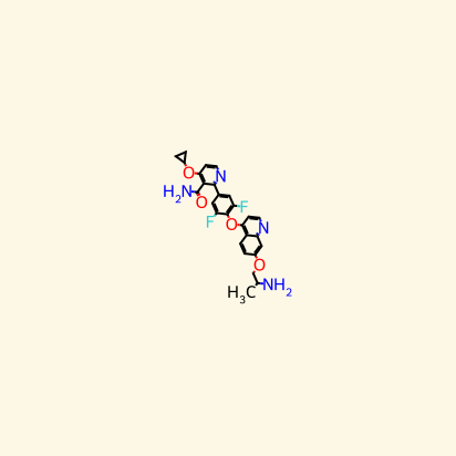 CC(N)COc1ccc2c(Oc3c(F)cc(-c4nccc(OC5CC5)c4C(N)=O)cc3F)ccnc2c1